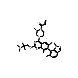 C=CC(=O)N1C[C@H](C)N(c2nc(OCC(C)(C)N(C)C)nc3c(F)c(-c4c(C)ccc5cnn(C)c45)c(Cl)cc23)C[C@H]1C